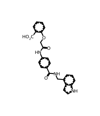 O=C(COc1ccccc1C(=O)O)Nc1ccc(C(=O)NCc2cccc3[nH]ccc23)cc1